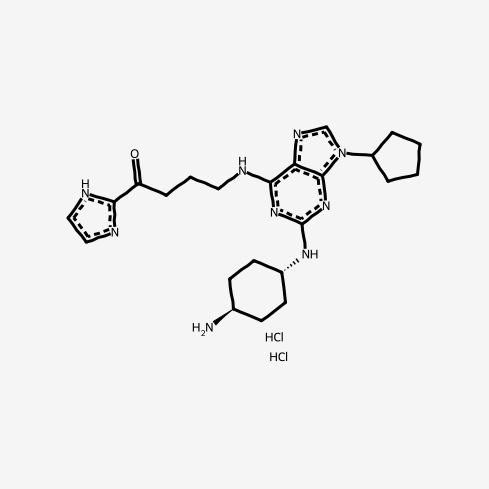 Cl.Cl.N[C@H]1CC[C@H](Nc2nc(NCCCC(=O)c3ncc[nH]3)c3ncn(C4CCCC4)c3n2)CC1